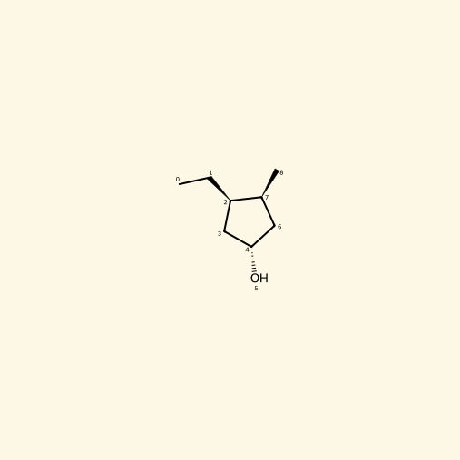 CC[C@@H]1C[C@@H](O)C[C@@H]1C